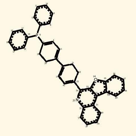 C1=C(C2=CC=C(P(c3ccccc3)c3ccccc3)CC2)CCC(c2nc3ccccc3c3c2oc2ccccc23)=C1